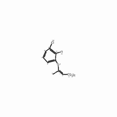 CCOC(=O)/C=C(/C)Oc1cccc(Cl)c1Cl